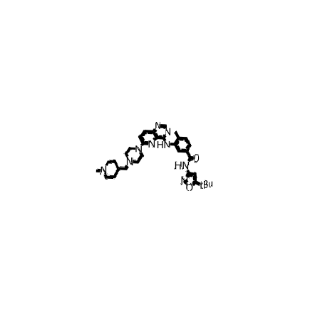 Cc1ccc(C(=O)Nc2cc(C(C)(C)C)on2)cc1Nc1ncnc2ccc(N3CCN(CC4CCN(C)CC4)CC3)nc12